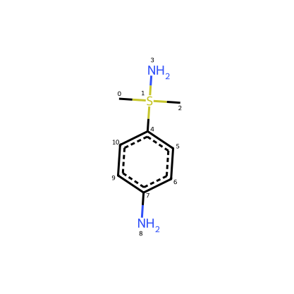 CS(C)(N)c1ccc(N)cc1